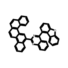 c1ccc2c(c1)ccc1ccc3c4ccccc4c(-c4nc(-c5cccc6oc7ccccc7c56)c5ccccc5n4)cc3c12